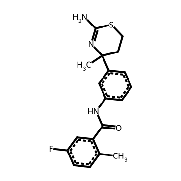 Cc1ccc(F)cc1C(=O)Nc1cccc(C2(C)CCSC(N)=N2)c1